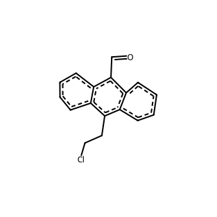 O=Cc1c2ccccc2c(CCCl)c2ccccc12